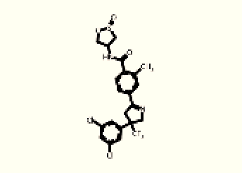 Cc1cc(C2=NCC(c3cc(Cl)cc(Cl)c3)(C(F)(F)F)C2)ccc1C(=O)NC1COS(=O)C1